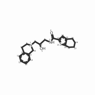 O=C(NCC(O)CN1CCc2ccccc2C1)c1cc2c(s1)CCCC2